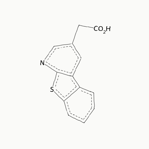 O=C(O)Cc1cnc2sc3ccccc3c2c1